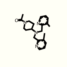 CC(=O)N1CCC(N(Cc2ncccc2C)Cc2ncccc2C)CC1